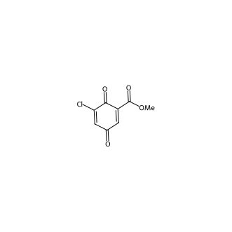 COC(=O)C1=CC(=O)C=C(Cl)C1=O